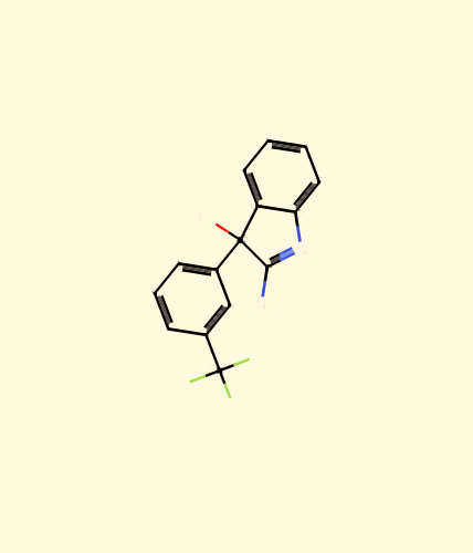 NC1=Nc2ccccc2C1(O)c1cccc(C(F)(F)F)c1